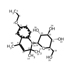 CCOc1ccc2c(c1)C(C)=CC(C)(C)N2[C@@H]1O[C@H](CO)[C@@H](O)[C@H](O)[C@H]1O